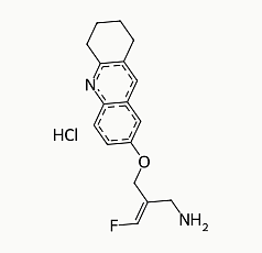 Cl.NC/C(=C/F)COc1ccc2nc3c(cc2c1)CCCC3